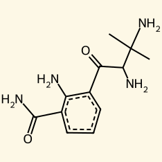 CC(C)(N)C(N)C(=O)c1cccc(C(N)=O)c1N